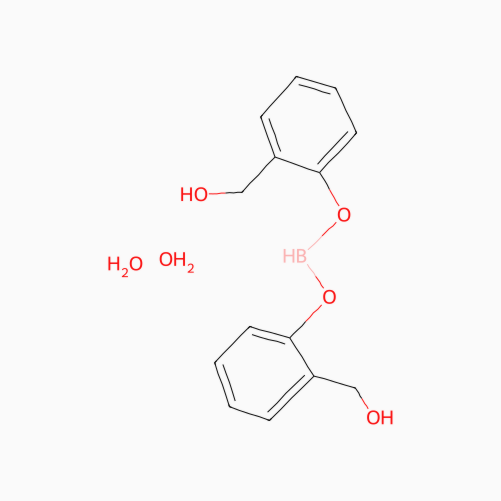 O.O.OCc1ccccc1OBOc1ccccc1CO